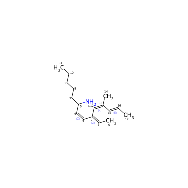 C/C=C(/C=C\C(N)CCCCC)\C=C(C)/C=C/C